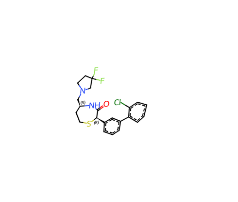 O=C1N[C@H](CN2CCC(F)(F)C2)CCS[C@@H]1c1cccc(-c2ccccc2Cl)c1